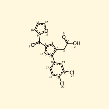 O=C(O)Cc1cc(C(=O)c2ccco2)sc1-c1ccc(Cl)c(Cl)c1